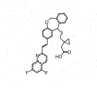 O=C(O)CC1(CSC2c3ccccc3COc3ccc(C=Cc4ccc5c(F)cc(F)cc5n4)cc32)CC1